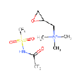 C[N+](C)(C)CC1CO1.O=C(NS(=O)(=O)C(F)(F)F)C(F)(F)F